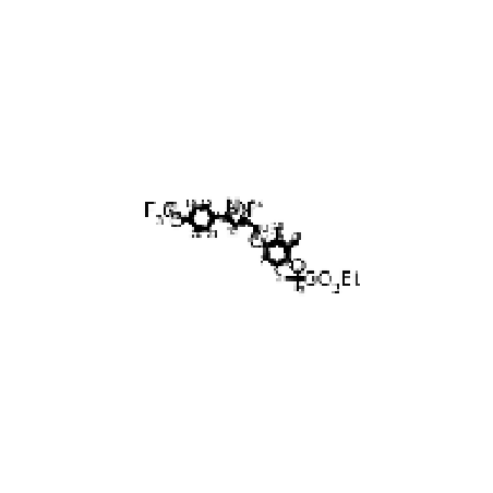 CCOC(=O)C(C)(C)Oc1ccc(OCc2cc(-c3ccc(OC(F)(F)F)cc3)nn2C)c(C)c1C